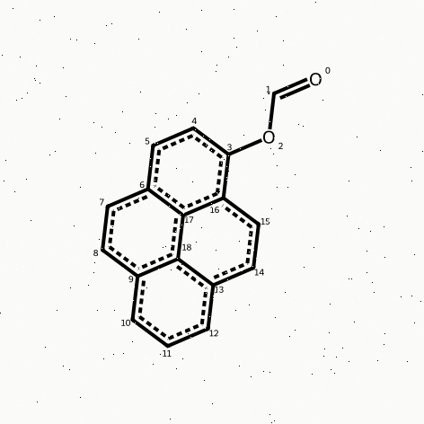 O=[C]Oc1ccc2ccc3cccc4ccc1c2c34